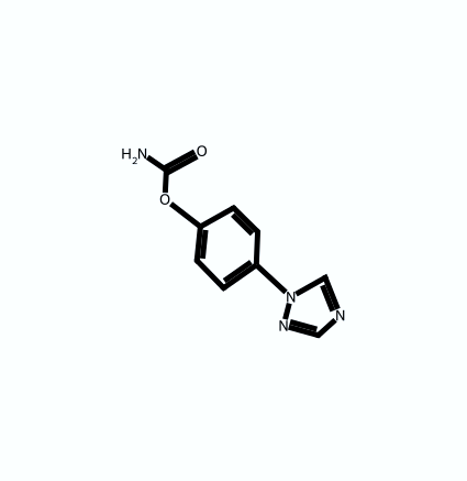 NC(=O)Oc1ccc(-n2cncn2)cc1